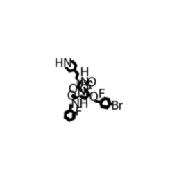 CS(=O)(=O)N[C@H](CCC1CCNCC1)C(=O)N1C[C@H](OCc2ccc(Br)cc2F)C[C@H]1C(=O)NCc1ccccc1F